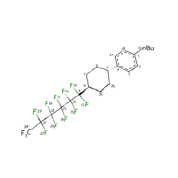 CCCCc1ccc([C@H]2CC[C@H](C(F)(F)C(F)(F)C(F)(F)C(F)(F)C(F)(F)C(F)(F)F)CC2)cc1